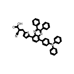 N#C/C(=C\c1ccc(-c2ccc(-c3ccc(N(c4ccccc4)c4ccccc4)cc3)c3nc(-c4ccccc4)c(-c4ccccc4)nc23)s1)C(=O)O